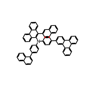 c1ccc2cc(-c3c(N(c4ccc(-c5ccc6c7ccccc7c7ccccc7c6c5)cc4)c4ccc(-c5cccc6ccccc56)cc4)c4ccccc4c4ccccc34)ccc2c1